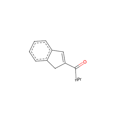 CCCC(=O)C1=Cc2ccccc2C1